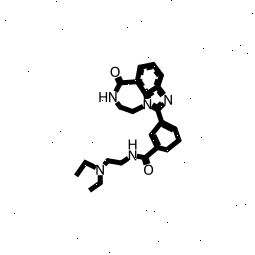 CCN(CC)CCNC(=O)C1=CC(c2nc3cccc4c3n2CCNC4=O)=CCC1